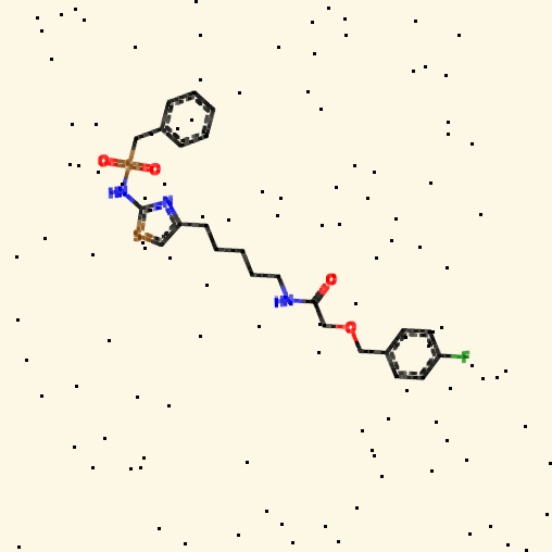 O=C(COCc1ccc(F)cc1)NCCCCCc1csc(NS(=O)(=O)Cc2ccccc2)n1